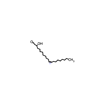 CCCCCCCC/C=C\CCCCCCCCC(O)CC=O